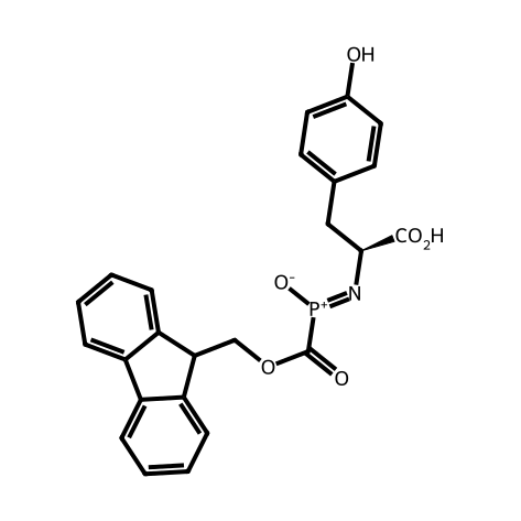 O=C(O)[C@H](Cc1ccc(O)cc1)N=[P+]([O-])C(=O)OCC1c2ccccc2-c2ccccc21